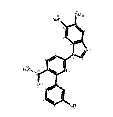 COc1cc2ncn(-c3ccc([C@@H](C)O)c(-c4cccc(C#N)c4)n3)c2cc1OC